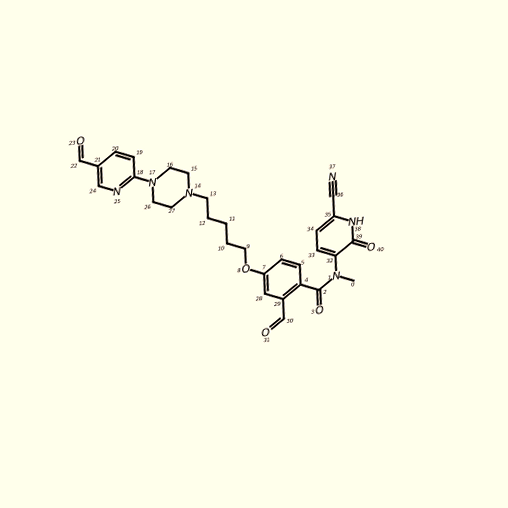 CN(C(=O)c1ccc(OCCCCCN2CCN(c3ccc(C=O)cn3)CC2)cc1C=O)c1ccc(C#N)[nH]c1=O